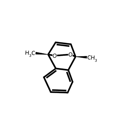 C[C@]12C=C[C@](C)(OO1)c1ccccc12